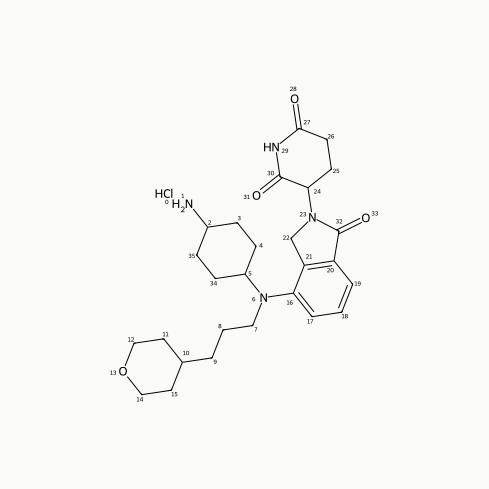 Cl.NC1CCC(N(CCCC2CCOCC2)c2cccc3c2CN(C2CCC(=O)NC2=O)C3=O)CC1